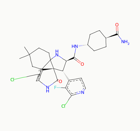 CC1(C)CCC2(CC1)N[C@@H](C(=O)N[C@H]1CC[C@H](C(N)=O)CC1)[C@H](c1ccnc(Cl)c1F)[C@]21C(=O)Nc2cc(Cl)ccc21